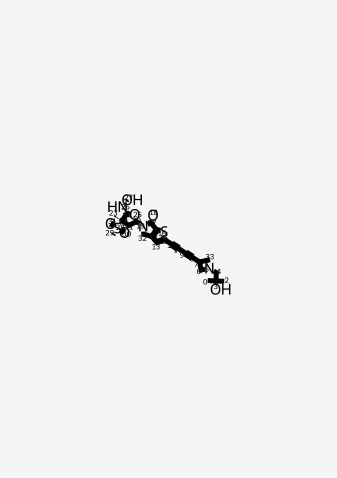 CC(C)(O)CN1CC(C#CC#Cc2cc3c(s2)C(=O)N(CC[C@](C)(C(=O)NO)S(C)(=O)=O)C3)C1